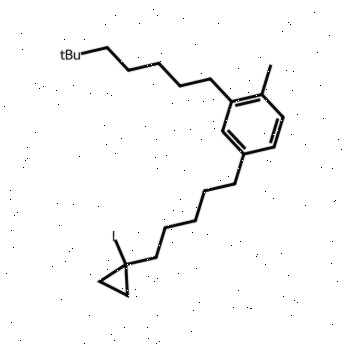 Cc1ccc(CCCCCC2(I)CC2)cc1CCCCCC(C)(C)C